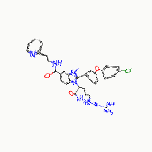 N=C(N)NCCCC(C(N)=O)n1c(-c2cccc(Oc3ccc(Cl)cc3)c2)nc2cc(C(=O)NCCc3ccccn3)ccc21